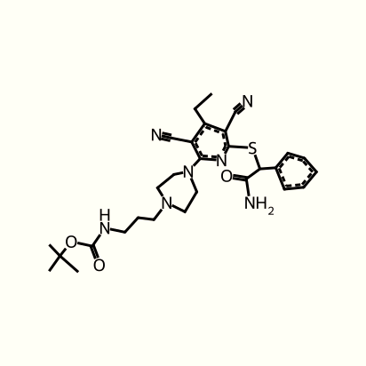 CCc1c(C#N)c(SC(C(N)=O)c2ccccc2)nc(N2CCN(CCCNC(=O)OC(C)(C)C)CC2)c1C#N